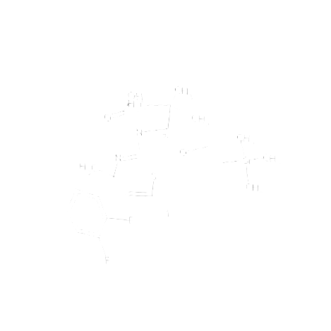 CC1(c2cccc(F)c2F)C=C(I)SC(N(C(=O)O)[C@@H](OCC[Si](C)(C)C)C(C)(C)C)=N1